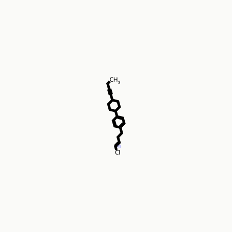 CCC#CC1CCC(c2ccc(CC/C=C/Cl)cc2)CC1